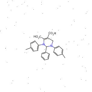 Cc1ccc(N2CC(C(=O)O)=C(C(=O)O)N(c3ccc(C)cc3)C2c2ccccc2)cc1